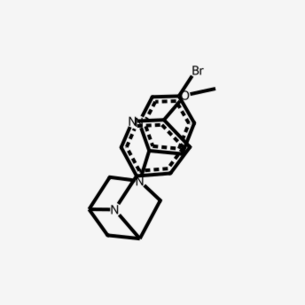 COc1ccc(N2C3CC2CN(c2ccc(Br)cn2)C3)cn1